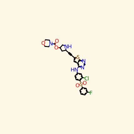 O=C(OC1CNC(C#Cc2cc3c(Nc4ccc(S(=O)(=O)c5cccc(F)c5)c(Cl)c4)ncnc3s2)C1)N1CCOCC1